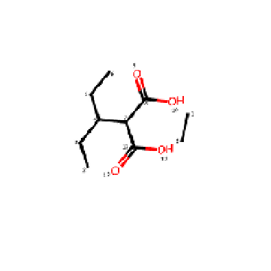 CC.CCC(CC)C(C(=O)O)C(=O)O